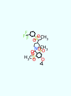 CCC(C1CCN(C(=O)c2c(S(C)(=O)=O)cc(OC3CC3)cc2S(C)(=O)=O)CC1)S(=O)(=O)c1cccc(C(F)(F)F)c1